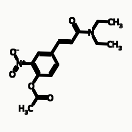 CCN(CC)C(=O)C=Cc1ccc(OC(C)=O)c([N+](=O)[O-])c1